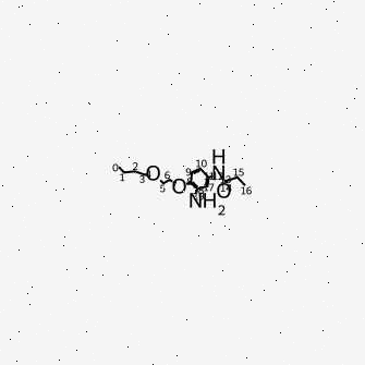 CCCCOCCOc1ccc(NC(=O)CC)cc1N